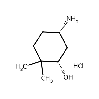 CC1(C)CC[C@H](N)C[C@@H]1O.Cl